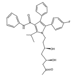 CC(=O)C[C@H](O)C[C@H](O)CCn1c(-c2ccc(F)cc2)c(-c2ccccc2)c(C(=O)Nc2ccccc2)c1C(C)C